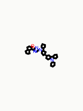 c1ccc(-n2c3ccccc3c3cc(-c4ccc5c(c4)c4ccccc4n5-c4cnc5c(n4)oc4ccc6ccccc6c45)ccc32)cc1